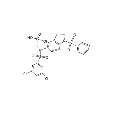 O=P(O)(O)CN(c1ccc2c(c1)CCN2S(=O)(=O)c1ccccc1)S(=O)(=O)c1cc(Cl)cc(Cl)c1